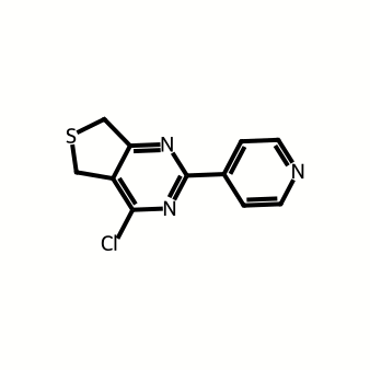 Clc1nc(-c2ccncc2)nc2c1CSC2